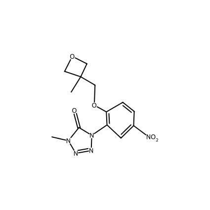 Cn1nnn(-c2cc([N+](=O)[O-])ccc2OCC2(C)COC2)c1=O